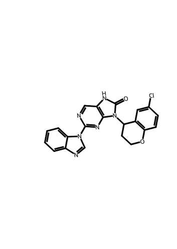 O=c1[nH]c2cnc(-n3cnc4ccccc43)nc2n1C1CCOc2ccc(Cl)cc21